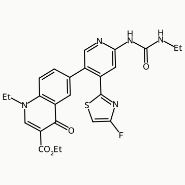 CCNC(=O)Nc1cc(-c2nc(F)cs2)c(-c2ccc3c(c2)c(=O)c(C(=O)OCC)cn3CC)cn1